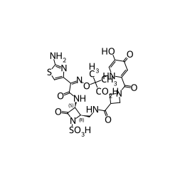 CC(C)(ON=C(C(=O)N[C@@H]1C(=O)N(S(=O)(=O)O)[C@@H]1CNC(=O)C1CN(C(=O)c2cc(=O)c(O)c[nH]2)C1)c1csc(N)n1)C(=O)O